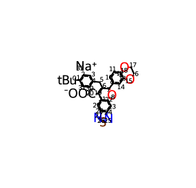 CC(C)(C)c1ccc(C/C(C(=O)c2ccc3c(c2)OCCO3)=C(\C(=O)[O-])c2ccc3nsnc3c2)cc1.[Na+]